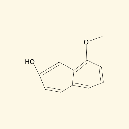 COc1cccc2ccc(O)cc12